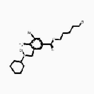 CCN(Cc1cc(C(=O)OCCCCCCl)cc(Br)c1N)C1CCCCC1